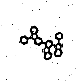 c1ccc(-c2nc3ccccc3n2-c2ccc(-c3ccc4c(c3)c3ccccc3n4-c3ccccc3)c3oc4ccccc4c23)cc1